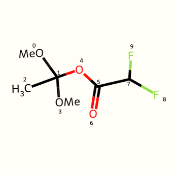 COC(C)(OC)OC(=O)C(F)F